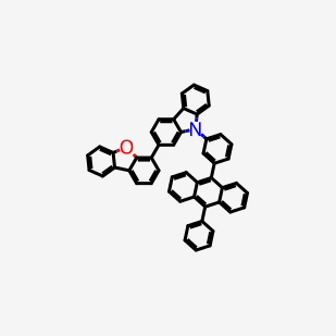 c1ccc(-c2c3ccccc3c(-c3cccc(-n4c5ccccc5c5ccc(-c6cccc7c6oc6ccccc67)cc54)c3)c3ccccc23)cc1